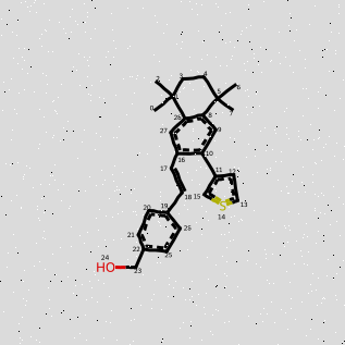 CC1(C)CCC(C)(C)c2cc(-c3ccsc3)c(/C=C/c3ccc(CO)cc3)cc21